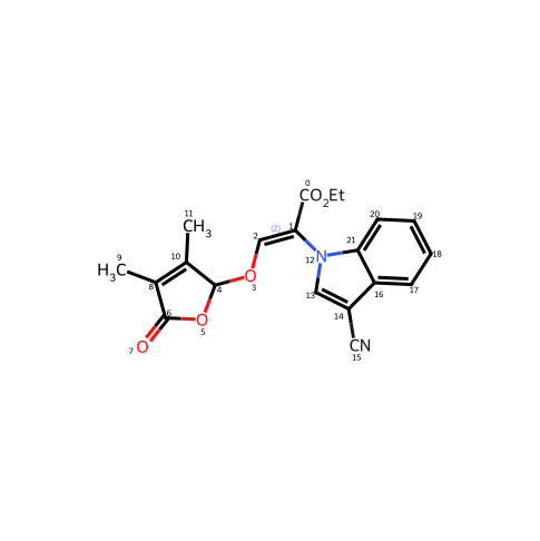 CCOC(=O)/C(=C/OC1OC(=O)C(C)=C1C)n1cc(C#N)c2ccccc21